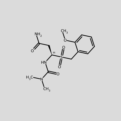 COc1ccccc1CS(=O)(=O)[C@H](CC(N)=O)NC(=O)N(C)C